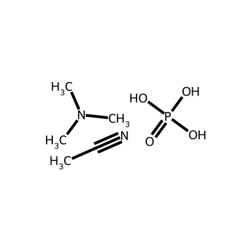 CC#N.CN(C)C.O=P(O)(O)O